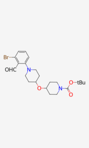 CC(C)(C)OC(=O)N1CCC(OC2CCN(c3cccc(Br)c3C=O)CC2)CC1